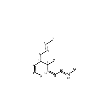 C/C=C\C(C/C=C/C)C(C)/C=C\C=NC